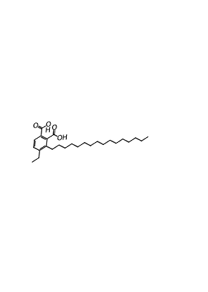 CCCCCCCCCCCCCCCCc1c(CC)ccc(C(=O)O)c1C(=O)O